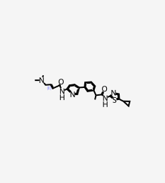 CC(C(=O)Nc1ncc(C2CC2)s1)c1cccc(-c2ccc(NC(=O)/C=C/CN(C)C)nc2)c1